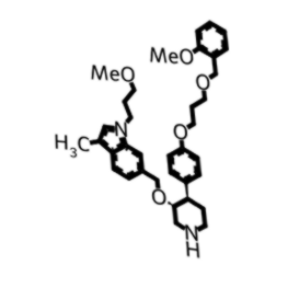 COCCCn1cc(C)c2ccc(CO[C@H]3CNCC[C@@H]3c3ccc(OCCCOCc4ccccc4OC)cc3)cc21